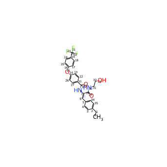 CCc1ccc(/C=C(/NC(=O)c2ccc(Oc3ccc(C(F)(F)F)cc3)cc2)C(=O)NCCO)cc1